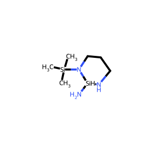 C[Si](C)(C)N1CCCN[SiH]1N